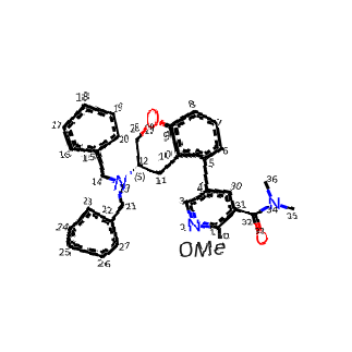 COc1ncc(-c2cccc3c2C[C@H](N(Cc2ccccc2)Cc2ccccc2)CO3)cc1C(=O)N(C)C